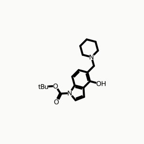 CC(C)(C)OC(=O)n1ccc2c(O)c(CN3CCCCC3)ccc21